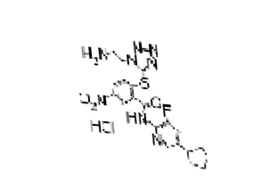 Cl.NCCn1nnnc1Sc1ccc([N+](=O)[O-])cc1C(=O)Nc1ncc(C2CCCC2)cc1F